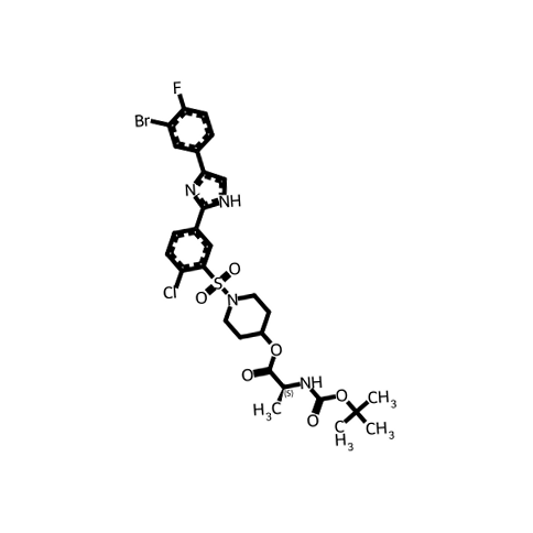 C[C@H](NC(=O)OC(C)(C)C)C(=O)OC1CCN(S(=O)(=O)c2cc(-c3nc(-c4ccc(F)c(Br)c4)c[nH]3)ccc2Cl)CC1